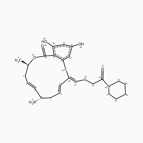 C[C@@H]1C/C=C/[C@@H](N)C/C=C/C(=N/OCC(=O)N2CCCCC2)Cc2cc(O)cc(O)c2C(=O)O1